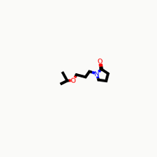 CC(C)OCCCN1CCCC1=O